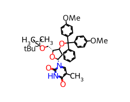 COc1ccc(C(OC2C[C@H](n3cc(C)c(=O)[nH]c3=O)O[C@@H]2CO[Si](C)(C)C(C)(C)C)(c2ccccc2)c2ccc(OC)cc2)cc1